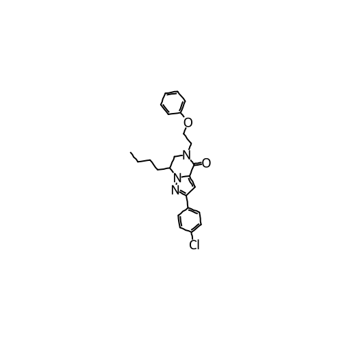 CCCCC1CN(CCOc2ccccc2)C(=O)c2cc(-c3ccc(Cl)cc3)nn21